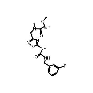 CO[C@H](C)C(=O)N(C)Cc1nsc(NC(=O)NCc2cccc(F)c2)n1